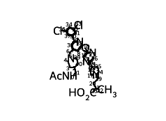 CC(=O)NCC1CCN(Cc2cc(Oc3cnc(N4CCN(CCC(C)C(=O)O)CC4)cn3)nc(-c3cc(Cl)cc(Cl)c3)c2)CC1